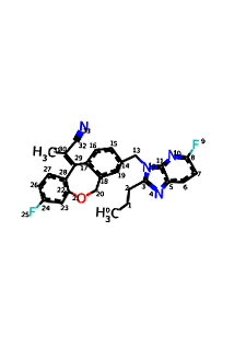 CCCc1nc2ccc(F)nc2n1Cc1ccc2c(c1)COc1cc(F)ccc1/C2=C(\C)C#N